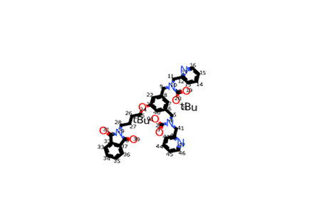 CC(C)(C)OC(=O)N(Cc1cc(CN(Cc2ccccn2)C(=O)OC(C)(C)C)cc(OCCCCN2C(=O)c3ccccc3C2=O)c1)Cc1ccccn1